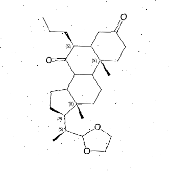 CCC[C@@H]1C(=O)C2C(CC[C@@]3(C)C2CC[C@@H]3[C@H](C)C2OCCO2)[C@@]2(C)CCC(=O)CC12